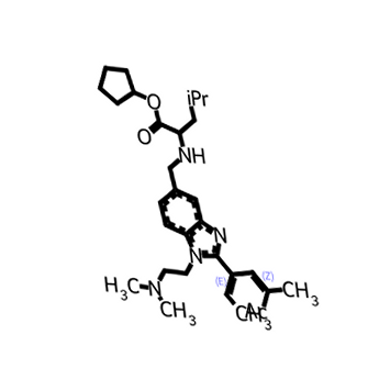 C/C=C(\C=C(\C)C(C)=O)c1nc2cc(CNC(CC(C)C)C(=O)OC3CCCC3)ccc2n1CCN(C)C